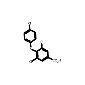 O=C(O)c1cc(Cl)c(Sc2ccc(Cl)cc2)c(Cl)c1